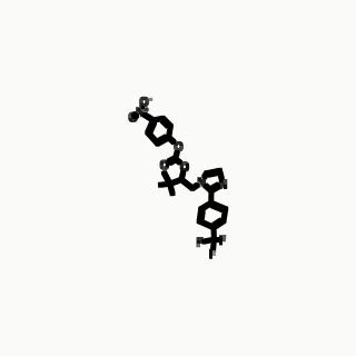 CC(C)(C)C(Cn1ccnc1-c1ccc(C(F)(F)F)cc1)OC(=O)Oc1ccc([N+](=O)[O-])cc1